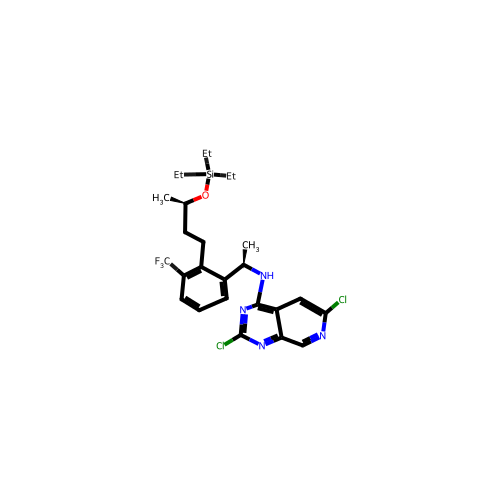 CC[Si](CC)(CC)O[C@H](C)CCc1c([C@@H](C)Nc2nc(Cl)nc3cnc(Cl)cc23)cccc1C(F)(F)F